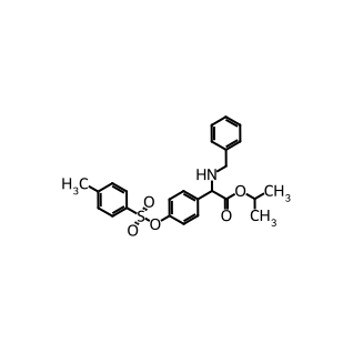 Cc1ccc(S(=O)(=O)Oc2ccc(C(NCc3ccccc3)C(=O)OC(C)C)cc2)cc1